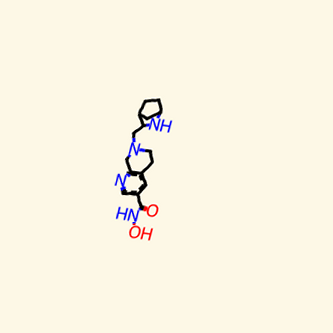 O=C(NO)c1cnc2c(c1)CCN(CC1NC3CCC1C3)C2